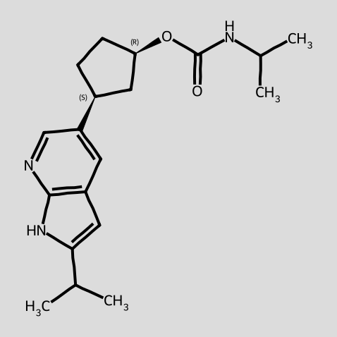 CC(C)NC(=O)O[C@@H]1CC[C@H](c2cnc3[nH]c(C(C)C)cc3c2)C1